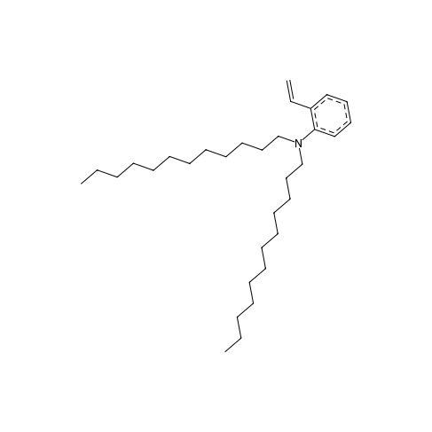 C=Cc1ccccc1N(CCCCCCCCCCCC)CCCCCCCCCCCC